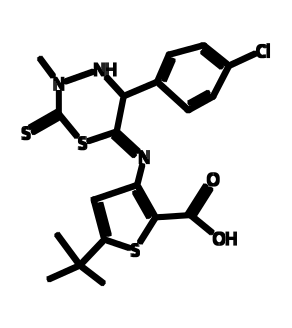 CN1NC(c2ccc(Cl)cc2)C(=Nc2cc(C(C)(C)C)sc2C(=O)O)SC1=S